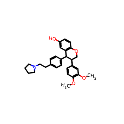 COc1ccc(C2COc3ccc(O)cc3C2c2ccc(CCN3CCCC3)cc2)cc1OC